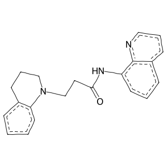 O=C(CCN1CCCc2ccccc21)Nc1cccc2cccnc12